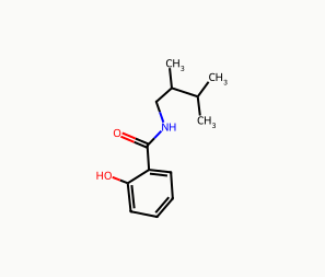 CC(C)C(C)CNC(=O)c1ccccc1O